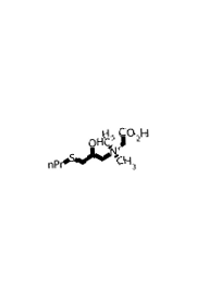 CCCSCC(O)C[N+](C)(C)CC(=O)O